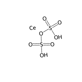 O=S(=O)(O)OS(=O)(=O)O.[Ce]